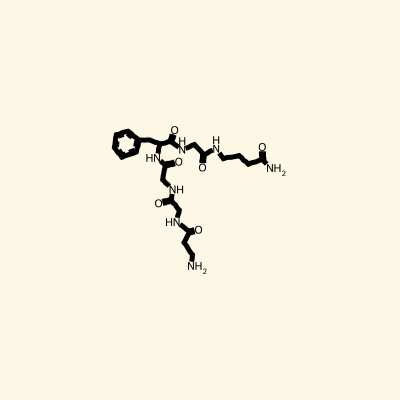 NCCC(=O)NCC(=O)NCC(=O)NC(Cc1ccccc1)C(=O)NCC(=O)NCCCC(N)=O